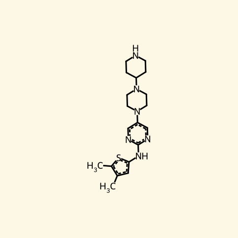 Cc1cc(Nc2ncc(N3CCN(C4CCNCC4)CC3)cn2)sc1C